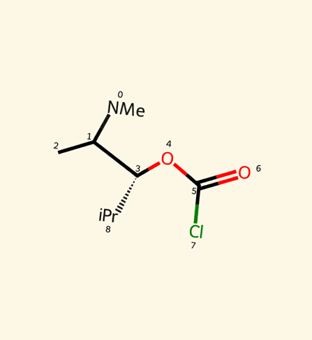 CNC(C)[C@H](OC(=O)Cl)C(C)C